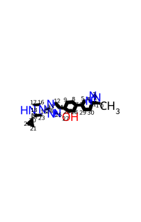 Cc1nnn2cc(-c3ccc(-c4cnc(N5CCN[C@@H](C6CC6)C5)nn4)c(O)c3)ccc12